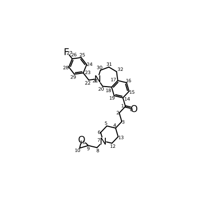 O=C(CCC1CCN(CC2CO2)CC1)c1ccc2c(c1)CN(Cc1ccc(F)cc1)CCC2